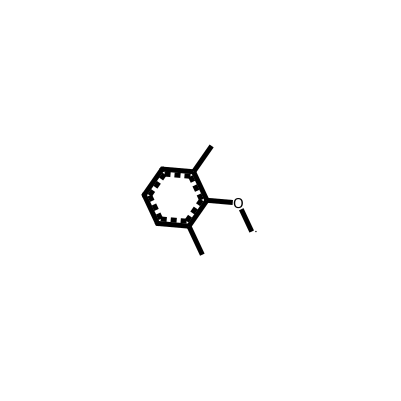 [CH2]Oc1c(C)cccc1C